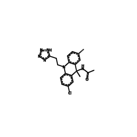 CC(=O)NC1(C)c2cc(C)ccc2N(CCc2nnn[nH]2)c2ccc(Cl)cc21